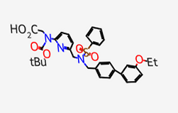 CCOc1cccc(-c2ccc(CN(Cc3cccc(N(CC(=O)O)C(=O)OC(C)(C)C)n3)S(=O)(=O)c3ccccc3)cc2)c1